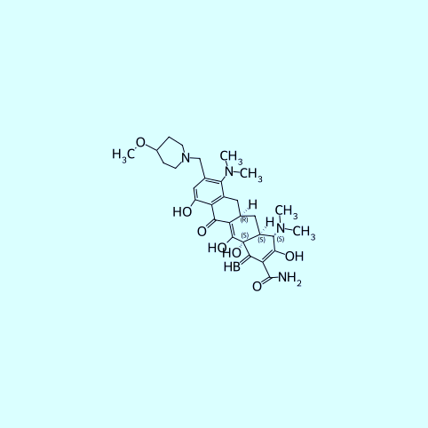 B=C1C(C(N)=O)=C(O)[C@@H](N(C)C)[C@@H]2C[C@@H]3Cc4c(c(O)cc(CN5CCC(OC)CC5)c4N(C)C)C(=O)C3=C(O)[C@]12O